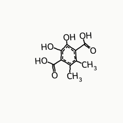 Cc1c(C)c(C(=O)O)c(O)c(O)c1C(=O)O